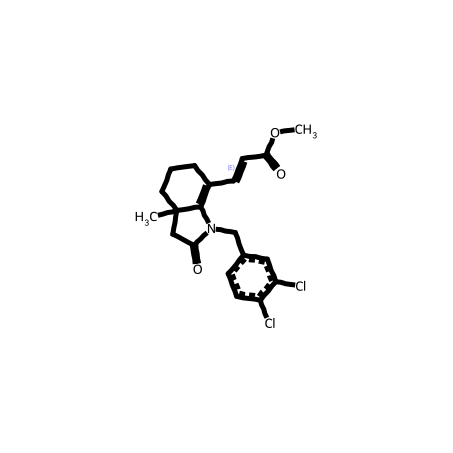 COC(=O)/C=C/C1=C2N(Cc3ccc(Cl)c(Cl)c3)C(=O)CC2(C)CCC1